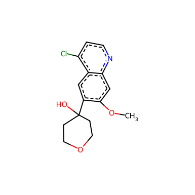 COc1cc2nccc(Cl)c2cc1C1(O)CCOCC1